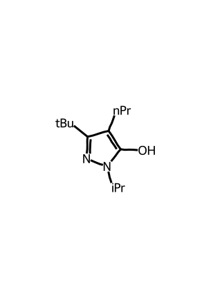 CCCc1c(C(C)(C)C)nn(C(C)C)c1O